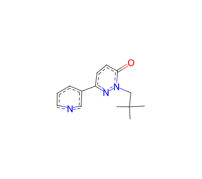 CC(C)(C)Cn1nc(-c2cccnc2)ccc1=O